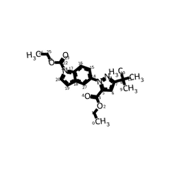 CCOC(=O)c1cc(C(C)(C)C)nn1-c1ccc2c(ccn2C(=O)OCC)c1